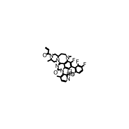 C=CC(=O)N1CC2CCN(C)c3c(F)c(-c4c(O)ccc(F)c4F)c(Cl)c4c3c(nc(=O)n4-c3c(C)ccnc3C(C)C)N2CC1C